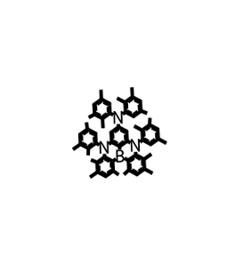 Cc1cc(C)c(C)c(N(c2cc3c4c(c2)N(c2cc(C)cc(C)c2C)c2c(C)c(C)cc(C)c2B4c2c(C)cc(C)c(C)c2N3c2cc(C)cc(C)c2C)c2cc(C)cc(C)c2C)c1